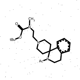 CC(=O)N1CCc2ccccc2C12CCN(CCN(C)C(=O)OC(C)(C)C)CC2